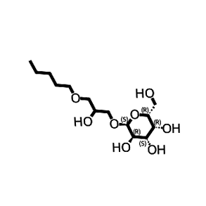 CCCCCOCC(O)CO[C@H]1O[C@H](CO)[C@H](O)[C@H](O)[C@H]1O